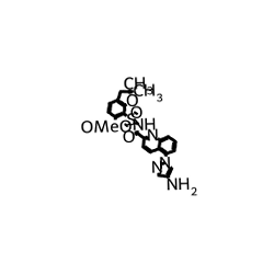 COc1ccc2c(c1S(=O)(=O)NC(=O)c1ccc3c(-n4cc(N)cn4)cccc3n1)OC(C)(C)C2